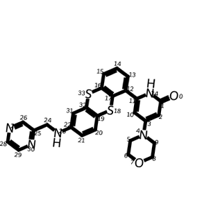 O=c1cc(N2CCOCC2)cc(-c2cccc3c2Sc2ccc(NCc4cnccn4)cc2S3)[nH]1